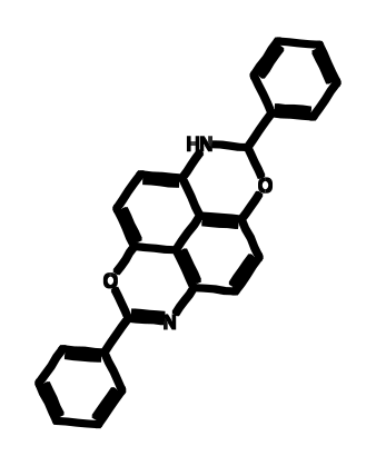 c1ccc(C2=Nc3ccc4c5c(ccc(c35)O2)NC(c2ccccc2)O4)cc1